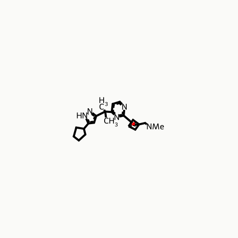 CNCC12CC(C1)N(c1nccc(C(C)(C)c3cc(C4CCCC4)[nH]n3)n1)C2